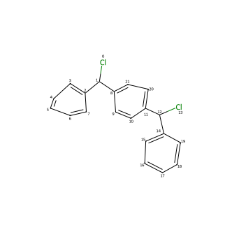 ClC(c1ccccc1)c1ccc(C(Cl)c2ccccc2)cc1